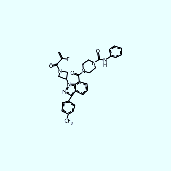 C=C(F)C(=O)N1CC(n2nc(-c3ccc(C(F)(F)F)cc3)c3cccc(C(=O)N4CCN(C(=O)Nc5ccccc5)CC4)c32)C1